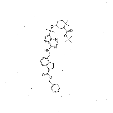 CC(C)(C)OC(=O)N1CC(OC(C)(C)c2cnn3c(NCc4cccc5c4CCN5C(=O)OCc4ccccc4)ncnc23)CCC1(C)C